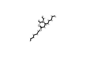 CCCCCCOC(=O)CC(CCCCC)N(CC)CC